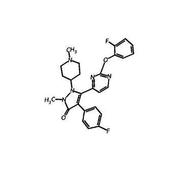 CN1CCC(n2c(-c3ccnc(Oc4ccccc4F)n3)c(-c3ccc(F)cc3)c(=O)n2C)CC1